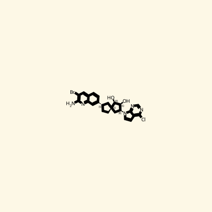 Nc1nc2cc([C@H]3CC[C@]4(C3)C[C@@H](n3ccc5c(Cl)ncnc53)[C@H](O)[C@@H]4O)ccc2cc1Br